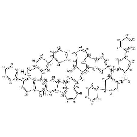 Cc1ccc(-c2ccccc2)cc1N(c1cccc(-c2ccccc2)c1)c1ccc2c3cccc4c5cc6c(cc5n(c2c1)c34)c1cccc2c3ccc(N(c4cc(-c5ccccc5)ccc4C)c4cc(-c5ccccc5)ccc4C)cc3n6c21